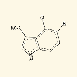 CC(=O)Oc1c[nH]c2ccc(Br)c(Cl)c12